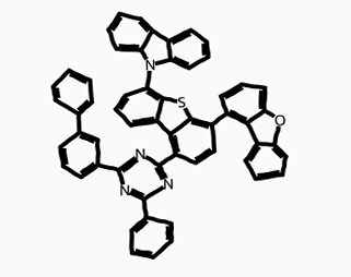 c1ccc(-c2cccc(-c3nc(-c4ccccc4)nc(-c4ccc(-c5cccc6oc7ccccc7c56)c5sc6c(-n7c8ccccc8c8ccccc87)cccc6c45)n3)c2)cc1